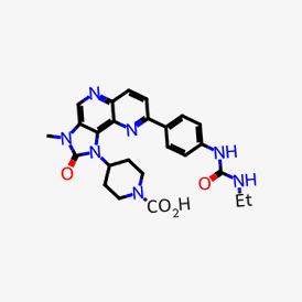 CCNC(=O)Nc1ccc(-c2ccc3ncc4c(c3n2)n(C2CCN(C(=O)O)CC2)c(=O)n4C)cc1